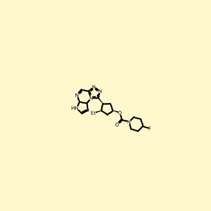 CC[C@@H]1C[C@H](OC(=O)N2CCC(F)CC2)C[C@@H]1c1nnc2n1C1C=CNC1N=C2